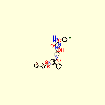 Nc1c(Oc2ccc(F)cc2)ncn(CC2(O)CCN(C(=O)[C@@H]3CCN(S(=O)(=O)c4ccc(-c5cccs5)s4)C[C@H]3c3ccccc3)CC2)c1=O